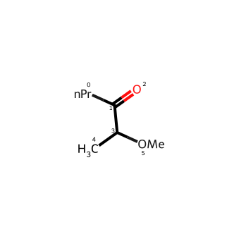 CCCC(=O)C(C)OC